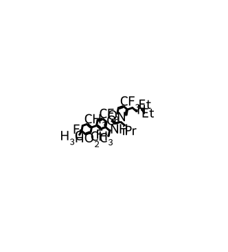 CCN(CC)CCc1cn(C(CC(C)C)C(=O)NC(CC(=O)O)c2cc(C(F)(F)F)cc(C3=C(C)CC(C)(F)C=C3C)c2F)c(=O)cc1C(F)(F)F